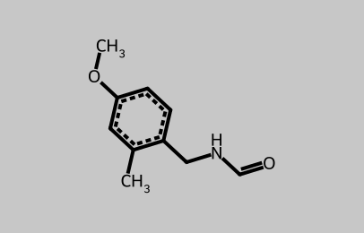 COc1ccc(CNC=O)c(C)c1